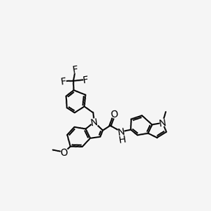 COc1ccc2c(c1)cc(C(=O)Nc1ccc3c(ccn3C)c1)n2Cc1cccc(C(F)(F)F)c1